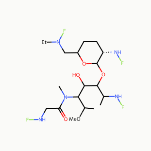 CCN(F)CC1CC[C@H](NF)C(OC(C(C)NF)C(O)C(C(C)OC)N(C)C(=O)CNF)O1